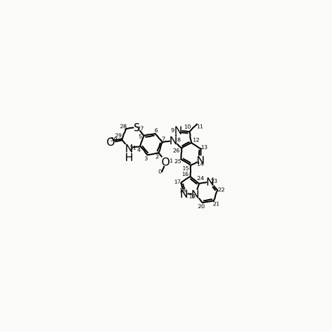 COc1cc2c(cc1-n1nc(C)c3cnc(-c4cnn5cccnc45)cc31)SCC(=O)N2